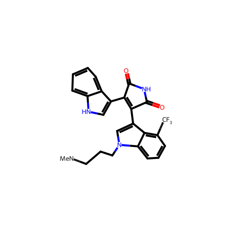 CNCCCn1cc(C2=C(c3c[nH]c4ccccc34)C(=O)NC2=O)c2c(C(F)(F)F)cccc21